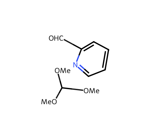 COC(OC)OC.O=Cc1ccccn1